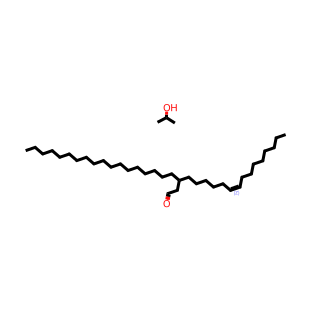 CC(C)O.CCCCCCCC/C=C\CCCCCC(CC=O)CCCCCCCCCCCCCCCCCC